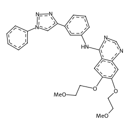 COCCOc1cc2ncnc(Nc3cccc(-c4cn(-c5ccccc5)nn4)c3)c2cc1OCCOC